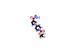 CNC(=O)[C@@H]1CCN(C2CCN(C(=O)OC(C)(C)C)CC2)C1